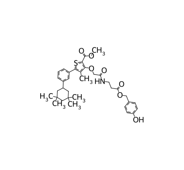 COC(=O)c1sc(-c2cccc(C3CC(C)(C)CC(C)(C)C3)c2)c(C)c1OCC(=O)NCCC(=O)OCc1ccc(O)cc1